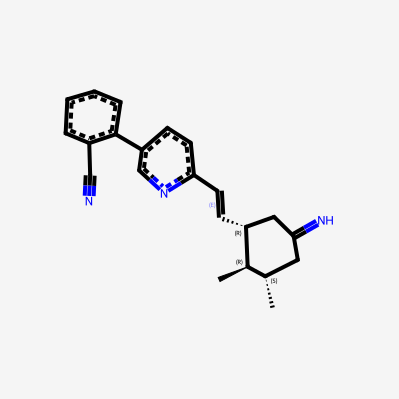 C[C@H]1[C@H](/C=C/c2ccc(-c3ccccc3C#N)cn2)CC(=N)C[C@@H]1C